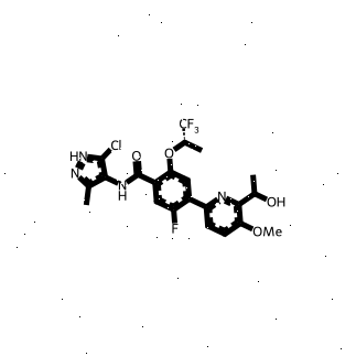 COc1ccc(-c2cc(O[C@@H](C)C(F)(F)F)c(C(=O)Nc3c(C)n[nH]c3Cl)cc2F)nc1C(C)O